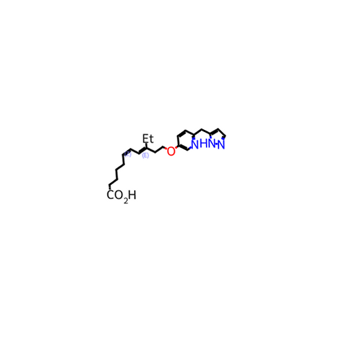 CC/C(=C\C=C/CCCCC(=O)O)CCOc1ccc(Cc2ccn[nH]2)nc1